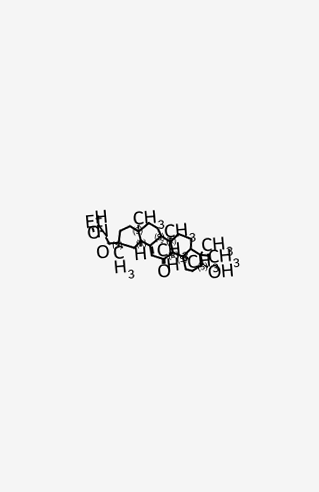 CCONC(=O)[C@@]1(C)CC[C@]2(C)CC[C@]3(C)C(=CC(=O)[C@@H]4[C@@]5(C)CC[C@H](O)C(C)(C)C5CC[C@]43C)[C@@H]2C1